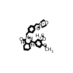 COc1ccc(C2=NN(Cc3ccc(C[N+]4([O-])CCOCC4)cc3)C(=O)[C@@H]3CC=CC[C@H]23)cc1OC